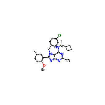 CCOc1ccc(C)cc1-c1nc2nc(C#N)nc(N[C@H](C)C3CCC3)c2n1Cc1ccc(Cl)cc1